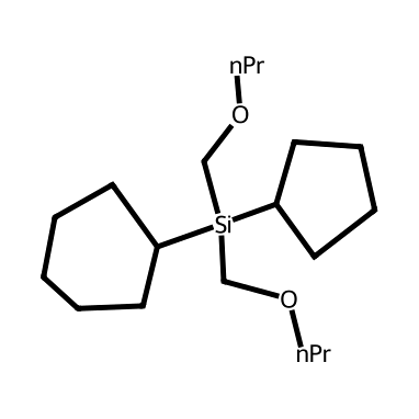 CCCOC[Si](COCCC)(C1CCCCC1)C1CCCC1